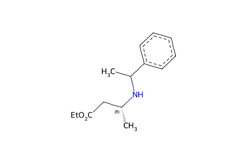 CCOC(=O)C[C@@H](C)NC(C)c1ccccc1